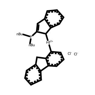 CCCCP(CCCC)C1=Cc2ccccc2[CH]1[Hf+2][c]1cccc2c1Cc1ccccc1-2.[Cl-].[Cl-]